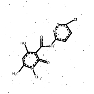 Cc1cc(O)c(C(=O)Nc2ccc(Cl)nn2)c(=O)n1C